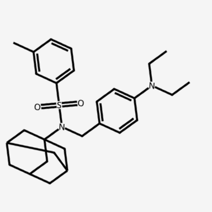 CCN(CC)c1ccc(CN(C23CC4CC(CC(C4)C2)C3)S(=O)(=O)c2cccc(C)c2)cc1